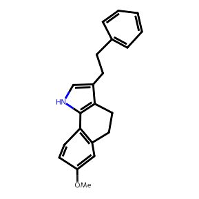 COc1ccc2c(c1)CCc1c(CCc3ccccc3)c[nH]c1-2